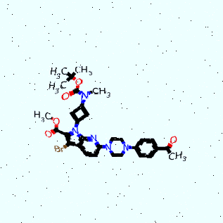 COC(=O)c1c(Br)c2ccc(N3CCN(c4ccc(C(C)=O)cc4)CC3)nc2n1C1CC(N(C)C(=O)OC(C)(C)C)C1